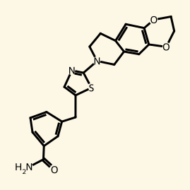 NC(=O)c1cccc(Cc2cnc(N3CCc4cc5c(cc4C3)OCCO5)s2)c1